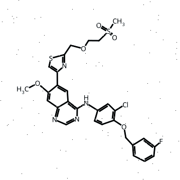 COc1cc2ncnc(Nc3ccc(OCc4cccc(F)c4)c(Cl)c3)c2cc1-c1csc(COCCS(C)(=O)=O)n1